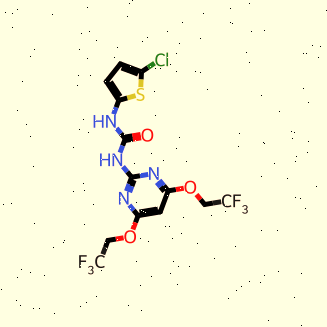 O=C(Nc1nc(OCC(F)(F)F)cc(OCC(F)(F)F)n1)Nc1ccc(Cl)s1